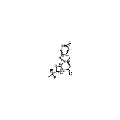 Cc1cc(=O)n2nc(C(C)(F)F)cc2n1Cc1ccc(Cl)nc1